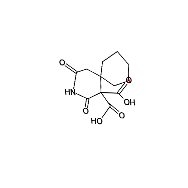 O=C1CC2(CCCCC2)C(C(=O)O)(C(=O)O)C(=O)N1